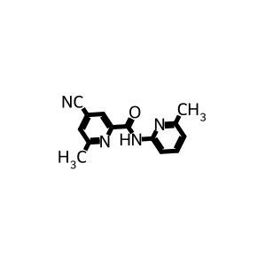 Cc1cccc(NC(=O)c2cc(C#N)cc(C)n2)n1